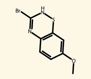 COc1ccc2c(c1)SNC(Br)=N2